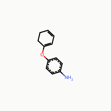 Nc1ccc(OC2=CC=CCC2)cc1